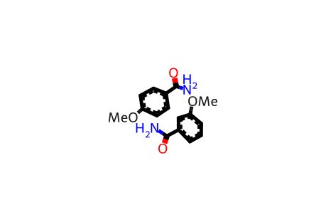 COc1ccc(C(N)=O)cc1.COc1cccc(C(N)=O)c1